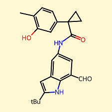 Cc1ccc(C2(C(=O)Nc3cc(C=O)c4[nH]c(C(C)(C)C)cc4c3)CC2)cc1O